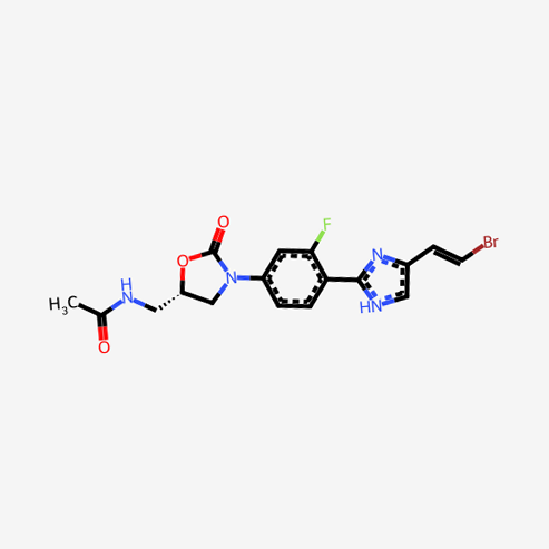 CC(=O)NC[C@H]1CN(c2ccc(-c3nc(C=CBr)c[nH]3)c(F)c2)C(=O)O1